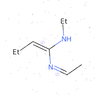 C/C=N\C(=C/CC)NCC